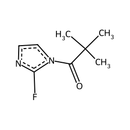 CC(C)(C)C(=O)n1ccnc1F